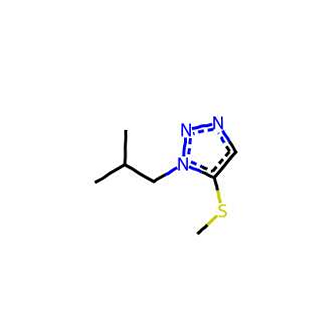 CSc1cnnn1CC(C)C